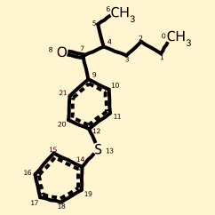 CCCCC(CC)C(=O)c1ccc(Sc2ccccc2)cc1